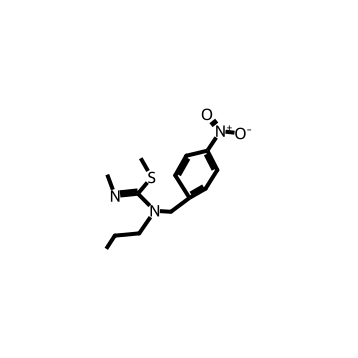 CCCN(Cc1ccc([N+](=O)[O-])cc1)C(=NC)SC